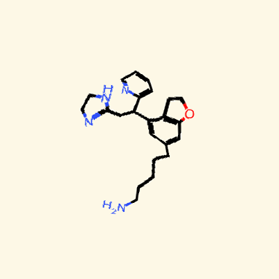 NCCCCCc1cc2c(c(C(CC3=NCCN3)c3ccccn3)c1)CCO2